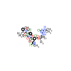 CC(C)OC(=O)c1cc(-c2nn(C)c(C(F)(F)F)c2Br)c(F)cc1Cl.CC1COc2ccccc2N1C(=O)C(Cl)Cl.CCNc1nc(Cl)nc(NC(C)C)n1.CCc1cccc(C)c1N(C(=O)CCl)C(C)COC